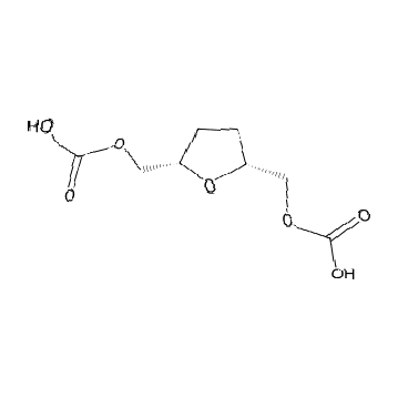 O=C(O)OC[C@H]1CC[C@@H](COC(=O)O)O1